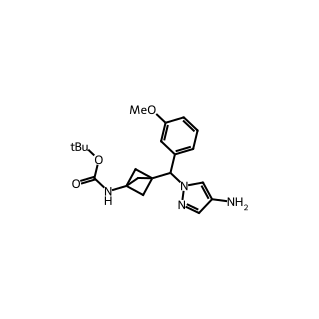 COc1cccc(C(n2cc(N)cn2)C23CC(NC(=O)OC(C)(C)C)(C2)C3)c1